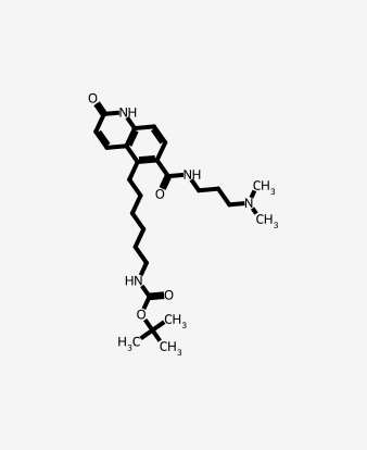 CN(C)CCCNC(=O)c1ccc2[nH]c(=O)ccc2c1CCCCCCNC(=O)OC(C)(C)C